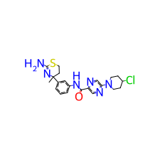 CC1(c2cccc(NC(=O)c3cnc(N4CCC(Cl)CC4)cn3)c2)CCSC(N)=N1